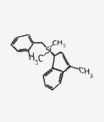 CC1=CC([Si](C)(C)Cc2ccccc2)c2ccccc21